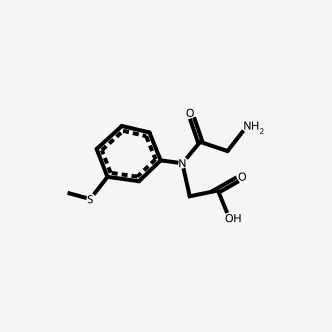 CSc1cccc(N(CC(=O)O)C(=O)CN)c1